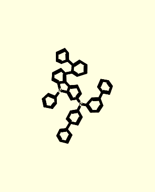 c1ccc(-c2ccc(N(c3cccc(-c4ccccc4)c3)c3ccc4c5c(-c6ccccc6-c6ccccc6)cccc5n(-c5ccccc5)c4c3)cc2)cc1